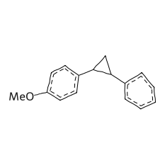 COc1ccc(C2CC2c2ccccc2)cc1